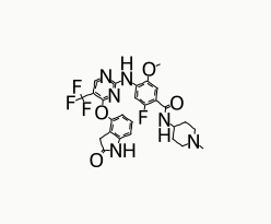 COc1cc(C(=O)NC2CCN(C)CC2)c(F)cc1Nc1ncc(C(F)(F)F)c(Oc2cccc3c2CC(=O)N3)n1